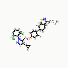 Cc1cc(OCc2c(C3CC3)cnn2-c2c(Cl)cccc2Cl)ccc1-c1ccc2c(C(=O)O)nsc2c1